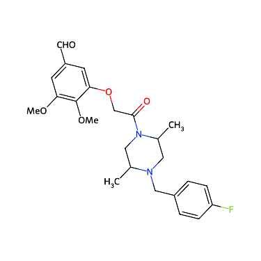 COc1cc(C=O)cc(OCC(=O)N2CC(C)N(Cc3ccc(F)cc3)CC2C)c1OC